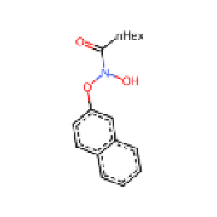 CCCCCCC(=O)N(O)Oc1ccc2ccccc2c1